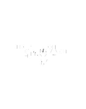 Cc1ccc(-c2nnc(N[C@@H]3CCOC(C)(C)C3)c3cnccc23)c(O)c1